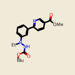 CCN(NC(=O)OC(C)(C)C)c1cccc(-c2ccc(C(=O)OC)cn2)c1